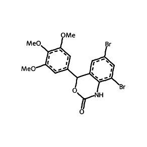 COc1cc(C2OC(=O)Nc3c(Br)cc(Br)cc32)cc(OC)c1OC